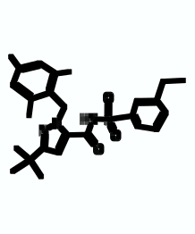 CCc1cccc(S(=O)(=O)NC(=O)c2cc(C(C)(C)C)nn2Cc2c(C)cc(C)cc2C)c1